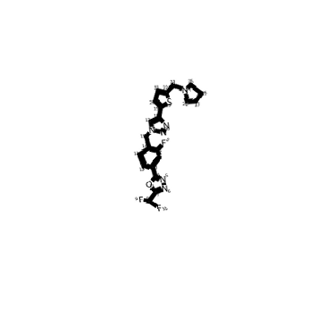 Fc1cc(-c2nnc(C(F)F)o2)ccc1Cn1cc(-c2ccc(CN3CCCC3)s2)nn1